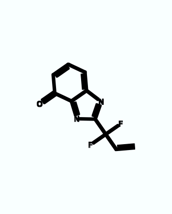 C=CC(F)(F)C1=NC2=CC=CC(=O)C2=N1